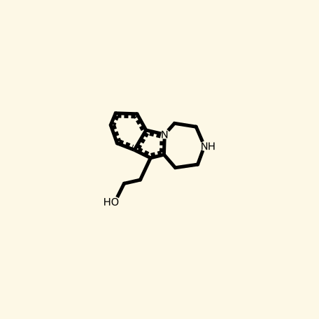 OCCc1c2n(c3ccccc13)CCNCC2